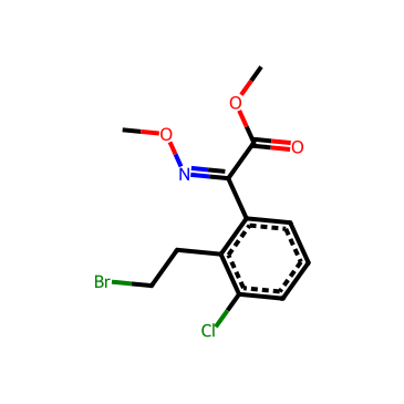 CON=C(C(=O)OC)c1cccc(Cl)c1CCBr